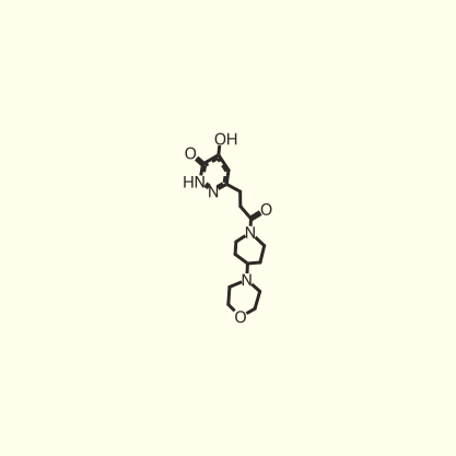 O=C(CCc1cc(O)c(=O)[nH]n1)N1CCC(N2CCOCC2)CC1